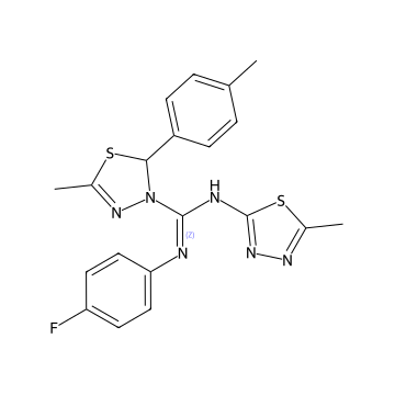 CC1=NN(/C(=N\c2ccc(F)cc2)Nc2nnc(C)s2)C(c2ccc(C)cc2)S1